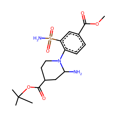 COC(=O)c1ccc(N2CCC(C(=O)OC(C)(C)C)CC2N)c(S(N)(=O)=O)c1